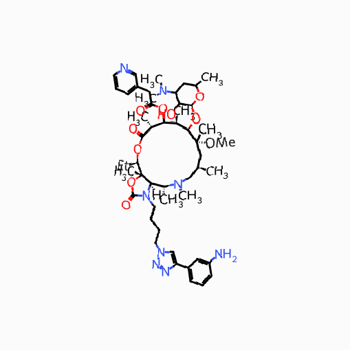 CC[C@H]1OC(=O)[C@H](C)C(OC(=O)Cc2cccnc2)[C@@H](C)[C@@H](O[C@@H]2OC(C)CC(N(C)C)C2O)[C@](C)(OC)C[C@@H](C)CN(C)[C@H](C)[C@H]2N(CCCCn3cc(-c4cccc(N)c4)nn3)C(=O)O[C@]12C